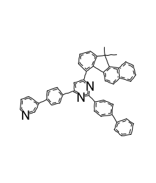 CC1(C)c2cccc(-c3cc(-c4ccc(-c5cccnc5)cc4)nc(-c4ccc(-c5ccccc5)cc4)n3)c2-c2ccc3ccccc3c21